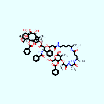 CC1=C2[C@@H](O)C(=O)C3(C)[C@@H](O)C[C@H]4OC[C@@]4(O)[C@H]3[C@H](OC(=O)c3ccccc3)[C@](O)(C[C@@H]1OC(=O)[C@H](OC(=O)CC(=O)NCCCCC(NC(=O)CC[C@@H](C=O)NC(=O)[C@H](C)NC(=O)C(C)OC1C(C)C(O)OC(CO)C1OC(=O)c1ccccc1)C(=O)O)[C@H](NC(=O)c1ccccc1)c1ccccc1)C2(C)C